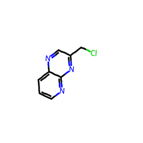 ClCc1cnc2cccnc2n1